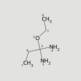 CCOC(N)(N)CC